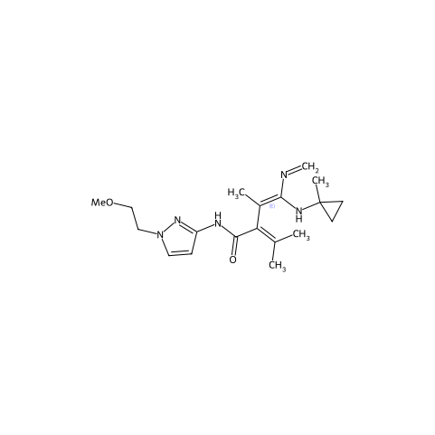 C=N/C(NC1(C)CC1)=C(\C)C(C(=O)Nc1ccn(CCOC)n1)=C(C)C